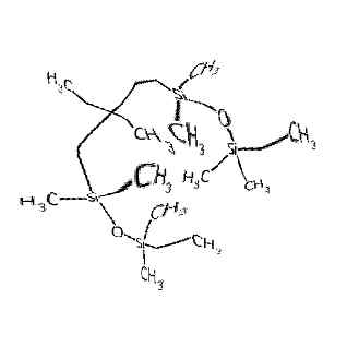 CC(C)(C[Si](C)(C)O[Si](C)(C)C)C[Si](C)(C)O[Si](C)(C)C